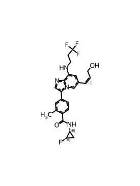 Cc1cc(-c2cnc3c(NCCC(F)(F)F)cc(/C=C\CO)cn23)ccc1C(=O)N[C@@H]1C[C@H]1F